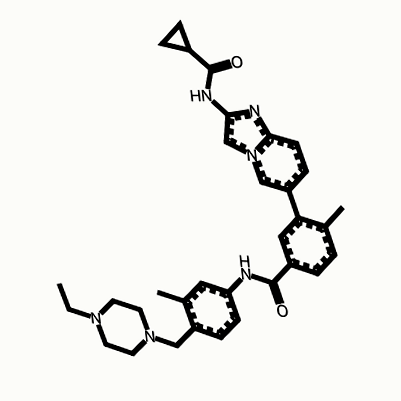 CCN1CCN(Cc2ccc(NC(=O)c3ccc(C)c(-c4ccc5nc(NC(=O)C6CC6)cn5c4)c3)cc2C)CC1